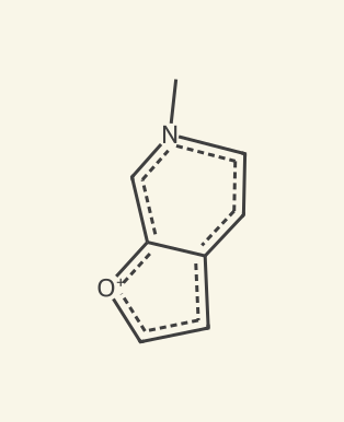 Cn1ccc2cc[o+]c-2c1